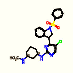 O=C(O)N[C@H]1CCC[C@@H](Nc2ncc(Cl)c(C3CN(S(=O)(=O)c4ccccc4)c4ccccc43)n2)C1